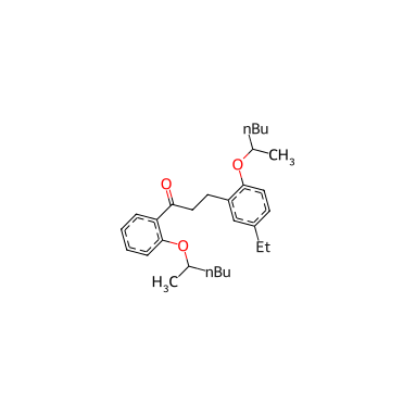 CCCCC(C)Oc1ccc(CC)cc1CCC(=O)c1ccccc1OC(C)CCCC